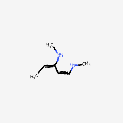 C/C=C(\C=C/NC)NC